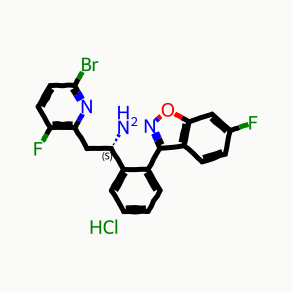 Cl.N[C@@H](Cc1nc(Br)ccc1F)c1ccccc1-c1noc2cc(F)ccc12